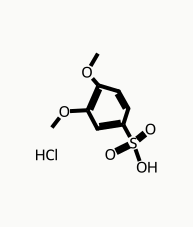 COc1ccc(S(=O)(=O)O)cc1OC.Cl